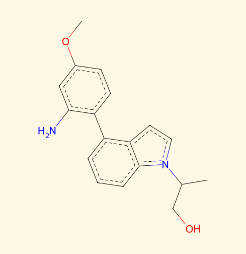 COc1ccc(-c2cccc3c2ccn3C(C)CO)c(N)c1